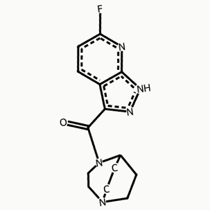 O=C(c1n[nH]c2nc(F)ccc12)N1CCN2CCC1CC2